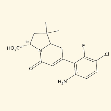 CC1(C)C[C@@H](C(=O)O)N2C(=O)C=C(c3c(N)ccc(Cl)c3F)CC21